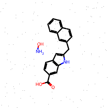 NO.O=C(O)c1ccc2cc(Cc3ccc4ccccc4c3)[nH]c2c1